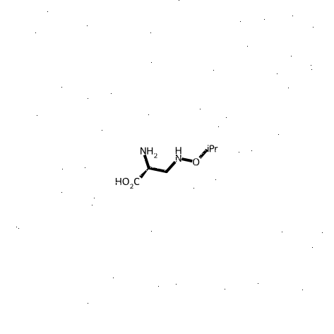 CC(C)ONC[C@H](N)C(=O)O